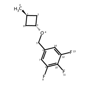 C[C@H]1C[C@H](OCc2cc(F)c(F)c(F)c2)C1